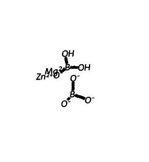 [Mg+2].[O-]B(O)O.[O-]B([O-])[O-].[Zn+2]